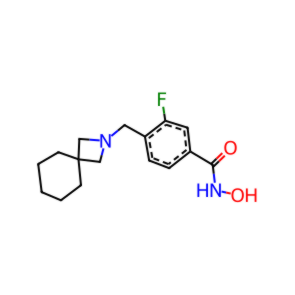 O=C(NO)c1ccc(CN2CC3(CCCCC3)C2)c(F)c1